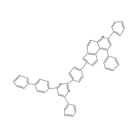 c1ccc(-c2ccc(-c3cc(-c4ccccc4)nc(-c4ccc(-c5ccc6c(ccc7nc(-c8ccccc8)cc(-c8ccccc8)c76)c5)cc4)n3)cc2)cc1